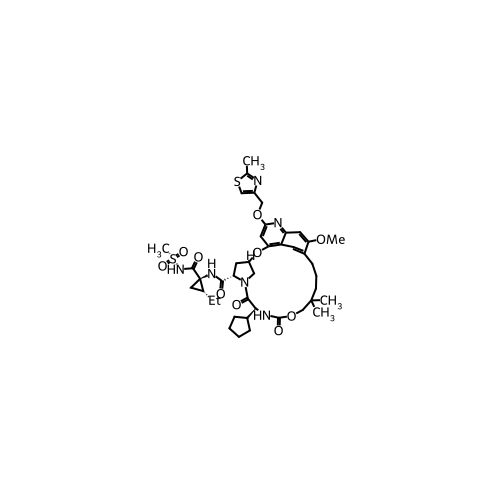 CC[C@@H]1C[C@]1(NC(=O)[C@@H]1C[C@@H]2CN1C(=O)[C@H](C1CCCC1)NC(=O)OCC(C)(C)CCCc1cc3c(cc(OCc4csc(C)n4)nc3cc1OC)O2)C(=O)NS(C)(=O)=O